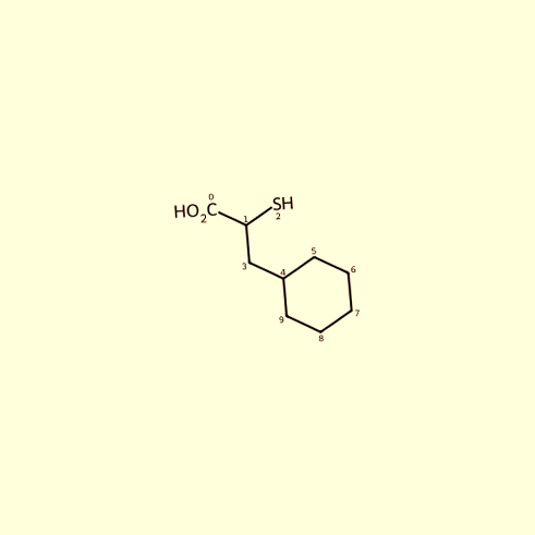 O=C(O)C(S)CC1CCCCC1